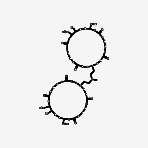 CCCCCCCCC1CCC(CC)C(CCCCCCCC)OC(=O)OCCOC(=O)CCN(CCN(C)CCN2CCC(=O)OCCOC(=O)OC(CCCCCCCC)CCC(CC)C(CCCCCCCC)OC(=O)OCCOC(=O)CC2)CCC(=O)OCCOC(=O)O1